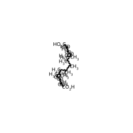 CC(C=CC=C(C)C=CC1=C(C)C(=O)C(OC(=O)CNC(=O)NCC(=O)O)CC1(C)C)=CC=CC=C(C)C=CC=C(C)C=CC1=C(C)C(=O)C(OC(=O)CNC(=O)NCC(=O)O)CC1(C)C